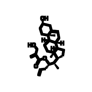 C=CC[C@H](OC(=O)C(=C)CO)[C@@H](C)[C@H]1CC[C@H]2[C@@H]3CC=C4C[C@@H](O)CC[C@]4(C)[C@H]3CC[C@]12C